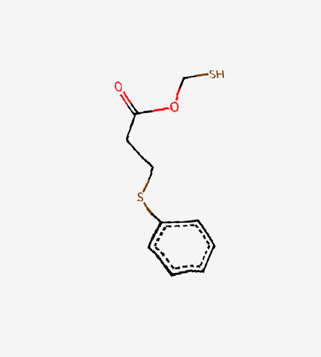 O=C(CCSc1ccccc1)OCS